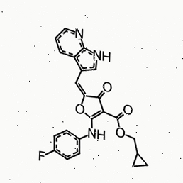 O=C(OCC1CC1)C1=C(Nc2ccc(F)cc2)OC(=Cc2c[nH]c3ncccc23)C1=O